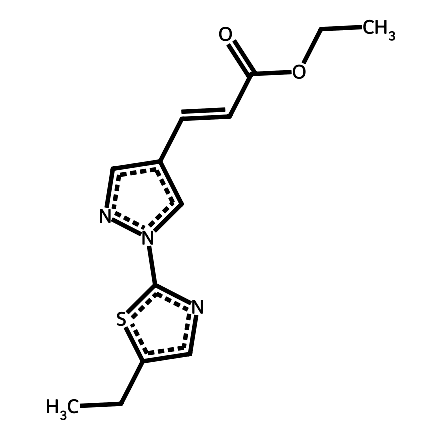 CCOC(=O)/C=C/c1cnn(-c2ncc(CC)s2)c1